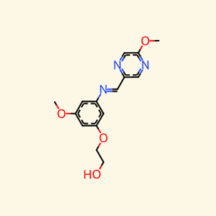 COc1cc(N=Cc2cnc(OC)cn2)cc(OCCO)c1